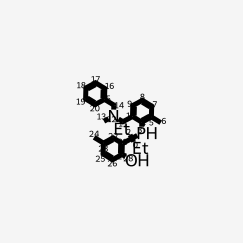 CCC(CC)(Pc1c(C)cccc1CN(C)Cc1ccccc1)c1cc(C)ccc1O